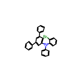 Brc1ccccc1N(c1ccccc1)c1cc(-c2ccccc2)cc(-c2ccccc2)c1